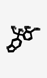 COc1cccc(C(N)(CN)c2ccn3ccnc3c2)c1OC